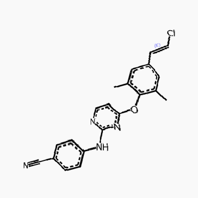 Cc1cc(/C=C/Cl)cc(C)c1Oc1ccnc(Nc2ccc(C#N)cc2)n1